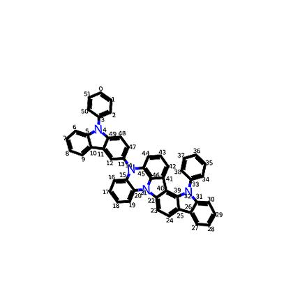 c1ccc(-n2c3ccccc3c3cc(N4c5ccccc5-n5c6ccc7c8ccccc8n(-c8ccccc8)c7c6c6cccc4c65)ccc32)cc1